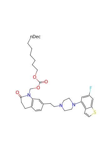 CCCCCCCCCCCCCCCCOC(=O)OCN1C(=O)CCc2ccc(CCN3CCN(c4cc(F)cc5sccc45)CC3)cc21